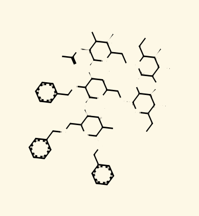 CCC1O[C@@H](O[C@@H]2C(OCc3ccccc3)[C@H](O[C@@H]3C(COCc4ccccc4)O[C@@H](OCc4ccccc4)C(C)[C@H]3C)OC(CO[C@H]3OC(CC)[C@@H](C)[C@H](C)C3O[C@@H]3OC(CC)[C@@H](C)[C@H](C)C3C)[C@H]2C)[C@@H](OC(C)=O)C(C)[C@H]1C